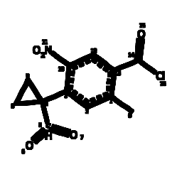 Cc1cc(C2([SH](=O)=O)CC2)c([N+](=O)[O-])cc1C(=O)Cl